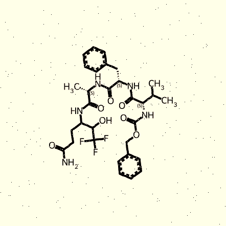 CC(C)[C@H](NC(=O)OCc1ccccc1)C(=O)N[C@@H](Cc1ccccc1)C(=O)N[C@@H](C)C(=O)NC(CCC(N)=O)C(O)C(F)(F)F